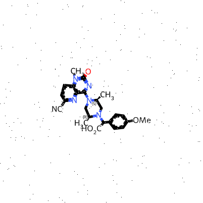 COc1ccc(C(C(=O)O)N2C[C@H](C)N(c3nc(=O)n(C)c4ccc(C#N)nc34)C[C@H]2C)cc1